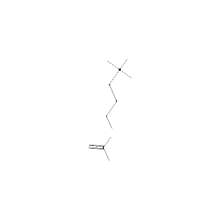 NC(=O)OCCCC(F)(F)C(F)(F)F